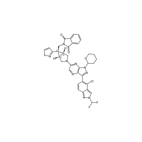 O=C1c2ccccc2C(=O)N1C[C@@]1(c2ccsn2)[C@@H]2CN(c3cnc4c(-c5ccc6nn(C(F)F)cc6c5Cl)nn(C5CCCCO5)c4n3)C[C@@H]21